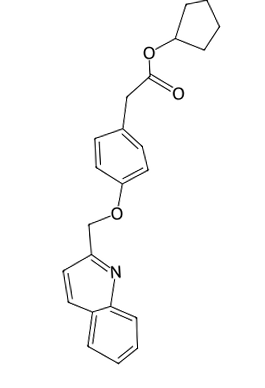 O=C(Cc1ccc(OCc2ccc3ccccc3n2)cc1)OC1CCCC1